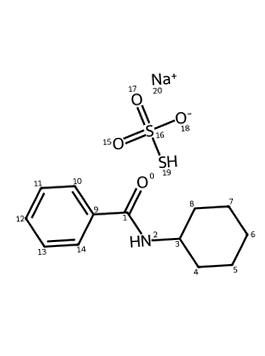 O=C(NC1CCCCC1)c1ccccc1.O=S(=O)([O-])S.[Na+]